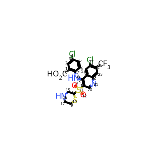 O=C(O)c1cc(Cl)ccc1Nc1c(S(=O)(=O)C2CNCCS2)cnc2cc(C(F)(F)F)c(Cl)cc12